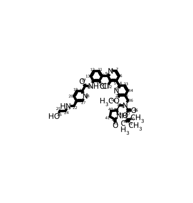 COc1nc(-c2ccnc(-c3cccc(NC(=O)c4ccc(CNCCO)cn4)c3Cl)c2Cl)ccc1CN(C[C@@H]1CCC(=O)N1)C(=O)OC(C)(C)C